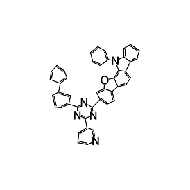 c1ccc(-c2cccc(-c3nc(-c4cccnc4)nc(-c4ccc5c(c4)oc4c5ccc5c6ccccc6n(-c6ccccc6)c54)n3)c2)cc1